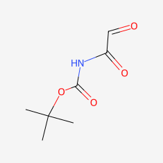 CC(C)(C)OC(=O)NC(=O)C=O